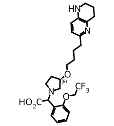 O=C(O)C(c1ccccc1OCC(F)(F)F)N1CC[C@@H](OCCCCc2ccc3c(n2)CCCN3)C1